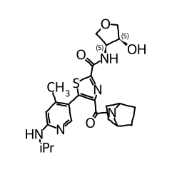 Cc1cc(NC(C)C)ncc1-c1sc(C(=O)N[C@H]2COC[C@H]2O)nc1C(=O)N1C2CCC1CC2